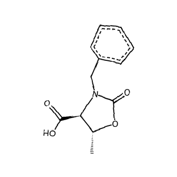 C[C@H]1OC(=O)N(Cc2ccccc2)[C@@H]1C(=O)O